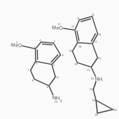 COc1cccc2c1CCC(N)C2.COc1cccc2c1CCC(NCC1CC1)C2